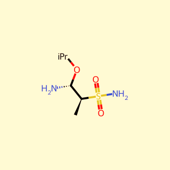 CC(C)O[C@@H](N)[C@H](C)S(N)(=O)=O